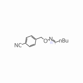 CCCC/[C]=N/OCc1ccc(C#N)cc1